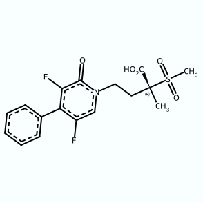 C[C@@](CCn1cc(F)c(-c2ccccc2)c(F)c1=O)(C(=O)O)S(C)(=O)=O